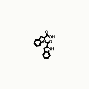 O=C(O)C1Cc2ccccc2N1C(=O)C1Cc2ccccc2N1